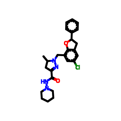 CC1CC(C(=O)NN2CCCCC2)=NN1Cc1cc(Cl)cc2c1OC(c1ccccc1)C2